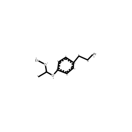 CCOC(C)Oc1ccc(CCC(C)C)cc1